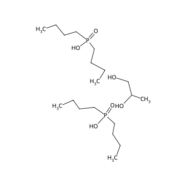 CC(O)CO.CCCCP(=O)(O)CCCC.CCCCP(=O)(O)CCCC